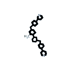 Cc1cc(Cc2ccc(-c3cccnc3)cc2)ccc1C1CCCC(Cc2ccc(-c3ccncc3)cc2)C1